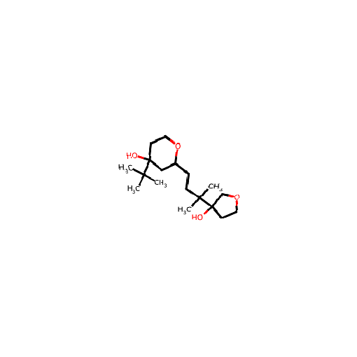 CC(C)(C)C1(O)CCOC(CCC(C)(C)C2(O)CCOC2)C1